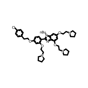 CCCCn1c(-c2ccc(OCCc3ccc(Cl)cc3)cc2OCCN2CCCC2)nc2c(OCCN3CCCC3)cc(OCCN3CCCC3)cc21